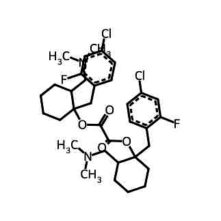 CN(C)CC1CCCCC1(Cc1ccc(Cl)cc1F)OC(=O)C(=O)OC1(Cc2ccc(Cl)cc2F)CCCCC1CN(C)C